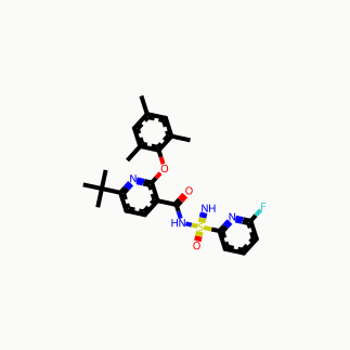 Cc1cc(C)c(Oc2nc(C(C)(C)C)ccc2C(=O)NS(=N)(=O)c2cccc(F)n2)c(C)c1